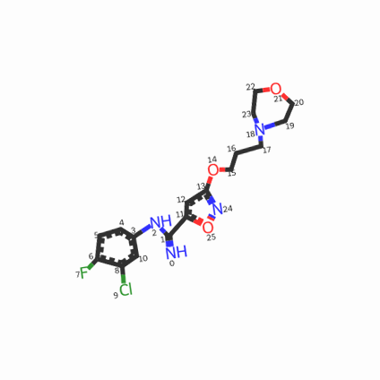 N=C(Nc1ccc(F)c(Cl)c1)c1cc(OCCCN2CCOCC2)no1